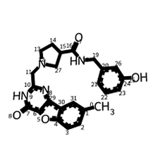 Cc1ccc2oc3c(=O)[nH]c(CN4CCC(C(=O)NCc5cccc(O)c5)C4)nc3c2c1